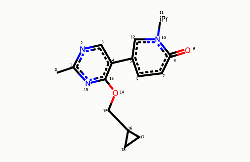 Cc1ncc(-c2ccc(=O)n(C(C)C)c2)c(OCC2CC2)n1